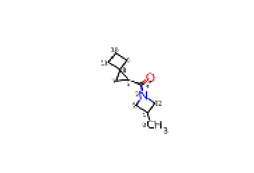 CC1CN(C(=O)[C@H]2CC23CCC3)C1